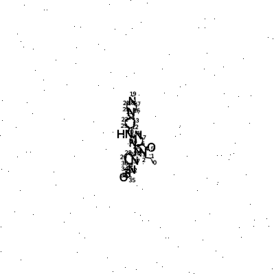 CCCn1c(=O)c2cnc(Nc3ccc(N4CCN(C)CC4)cc3)nc2n1-c1cccc(N=S(C)(C)=O)n1